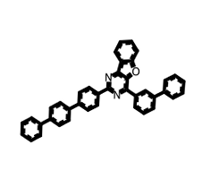 c1ccc(-c2ccc(-c3ccc(-c4nc(-c5cccc(-c6ccccc6)c5)c5oc6ccccc6c5n4)cc3)cc2)cc1